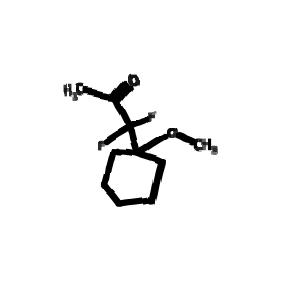 COC1(C(F)(F)C(C)=O)CCCCC1